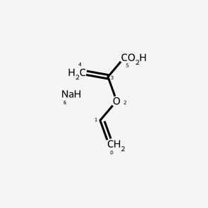 C=COC(=C)C(=O)O.[NaH]